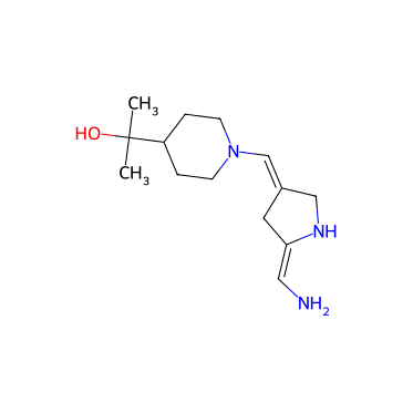 CC(C)(O)C1CCN(/C=C2/CN/C(=C\N)C2)CC1